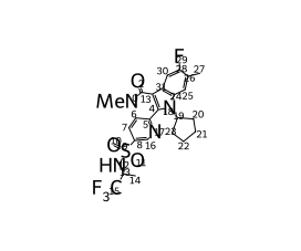 CNC(=O)c1c(-c2ccc(S(=O)(=O)NC(C)C(F)(F)F)cn2)n(C2CCCC2)c2cc(C)c(F)cc12